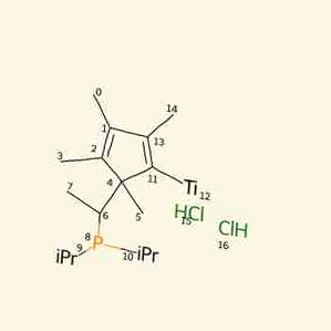 CC1=C(C)C(C)(C(C)P(C(C)C)C(C)C)[C]([Ti])=C1C.Cl.Cl